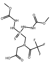 COC(=O)NNP(=S)(CN(CC(=O)O)C(=O)C(F)(F)F)NNC(=O)OC